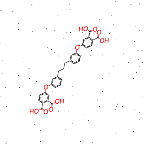 O=C(O)c1ccc(Oc2cccc(CCCc3cccc(Oc4ccc(C(=O)O)c(C(=O)O)c4)c3)c2)cc1C(=O)O